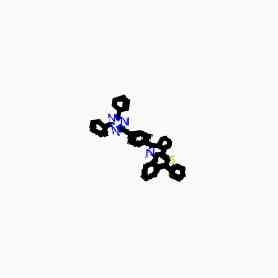 c1ccc(-c2nc(-c3ccccc3)nc(-c3ccc(-c4nc5c6ccccc6c6c7ccccc7sc6c5c5ccccc45)cc3)n2)cc1